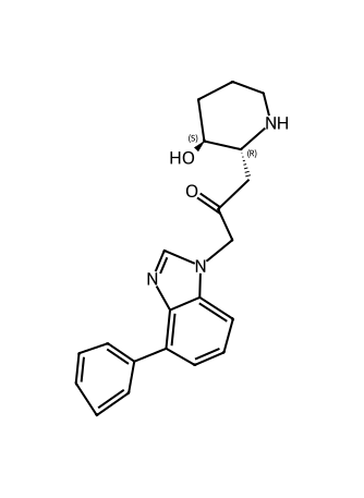 O=C(C[C@H]1NCCC[C@@H]1O)Cn1cnc2c(-c3ccccc3)cccc21